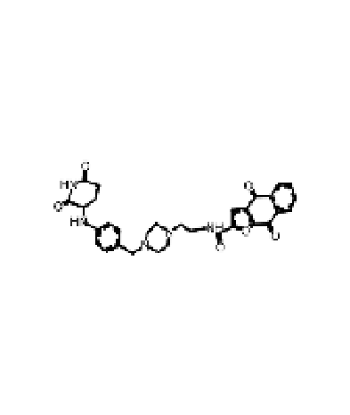 O=C1CCC(Nc2ccc(CN3CCN(CCNC(=O)c4cc5c(o4)C(=O)c4ccccc4C5=O)CC3)cc2)C(=O)N1